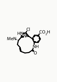 CN[C@H]1C/C=C/CCC(=O)Nc2ccc(C(=O)O)cc2-c2nc1[nH]c2Cl